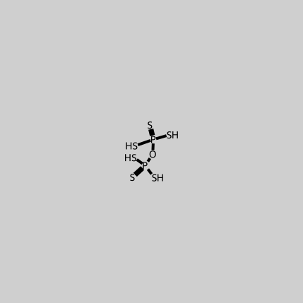 S=P(S)(S)OP(=S)(S)S